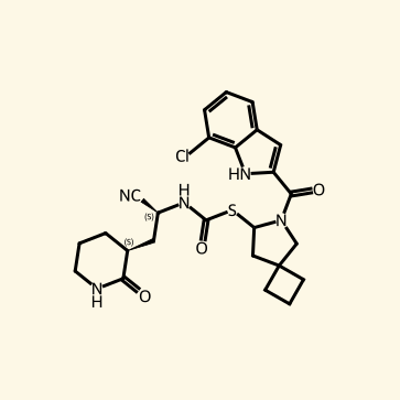 N#C[C@H](C[C@@H]1CCCNC1=O)NC(=O)SC1CC2(CCC2)CN1C(=O)c1cc2cccc(Cl)c2[nH]1